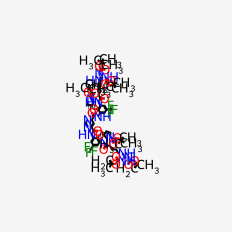 C=C(C)OC(=O)/N=C(/NCCCCC(=O)Nc1cc(C(F)(F)F)cc(NC(=O)c2cc(C(=O)Nc3cc(C(F)(F)F)cc(NC(=O)CCCCN/C(=N/C(=O)OC(C)(C)C)NC(=O)OC(C)(C)C)c3O[C@@H]3CCN(C(=O)OC(C)(C)C)C3)ncn2)c1O[C@@H]1CCN(C(=O)OC(C)(C)C)C1)NC(=O)OC(=C)C